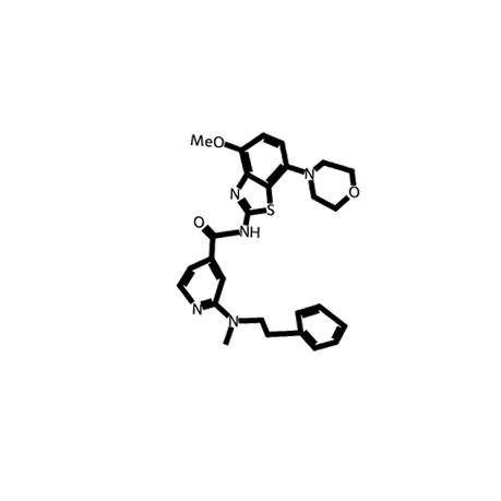 COc1ccc(N2CCOCC2)c2sc(NC(=O)c3ccnc(N(C)CCc4ccccc4)c3)nc12